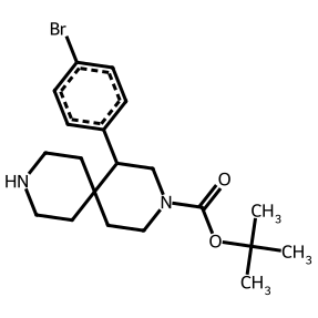 CC(C)(C)OC(=O)N1CCC2(CCNCC2)C(c2ccc(Br)cc2)C1